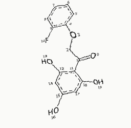 O=C(COc1ccccc1F)c1c(O)cc(O)cc1O